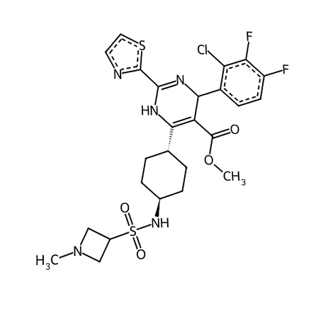 COC(=O)C1=C([C@H]2CC[C@H](NS(=O)(=O)C3CN(C)C3)CC2)NC(c2nccs2)=NC1c1ccc(F)c(F)c1Cl